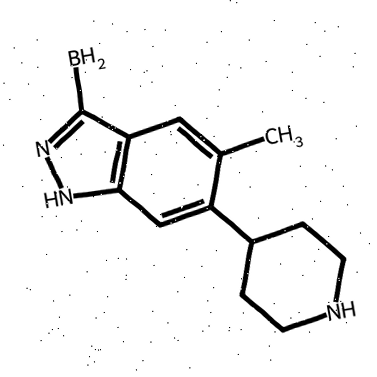 Bc1n[nH]c2cc(C3CCNCC3)c(C)cc12